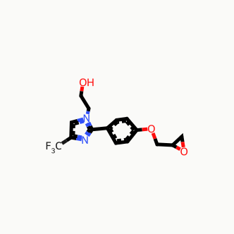 OCCn1cc(C(F)(F)F)nc1-c1ccc(OCC2CO2)cc1